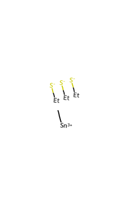 CC[S-].CC[S-].CC[S-].[CH3][Sn+3]